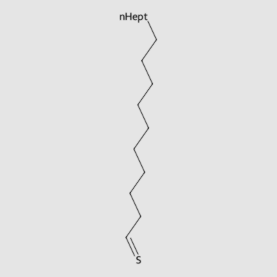 CCCCCCCCCCCCCCCCC=S